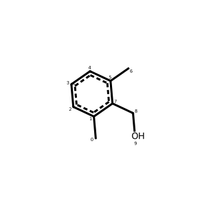 Cc1c[c]cc(C)c1CO